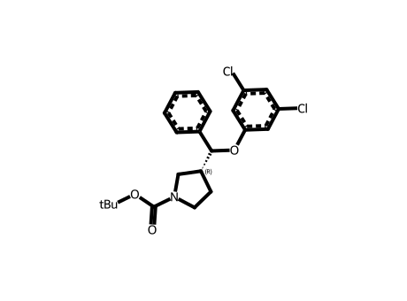 CC(C)(C)OC(=O)N1CC[C@@H](C(Oc2cc(Cl)cc(Cl)c2)c2ccccc2)C1